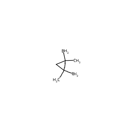 BC1(C)CC1(B)C